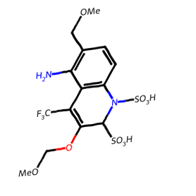 COCOC1=C(C(F)(F)F)c2c(ccc(COC)c2N)N(S(=O)(=O)O)C1S(=O)(=O)O